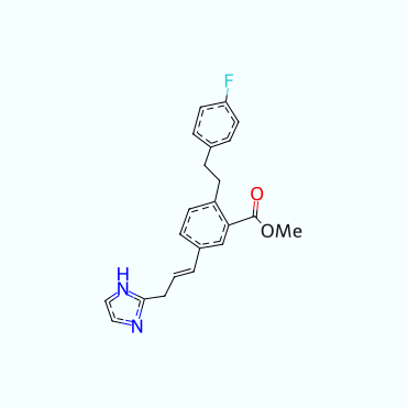 COC(=O)c1cc(C=CCc2ncc[nH]2)ccc1CCc1ccc(F)cc1